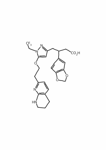 O=C(O)CC(Cc1cc(OCCc2ccc3c(n2)NCCC3)n(CC(F)(F)F)n1)c1ccc2c(c1)OCO2